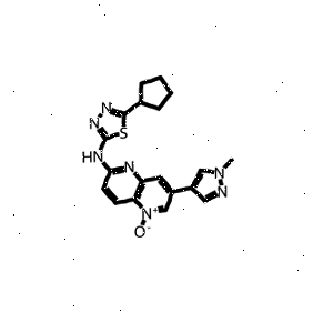 Cn1cc(-c2cc3nc(Nc4nnc(C5CCCC5)s4)ccc3[n+]([O-])c2)cn1